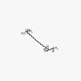 CNCCC(C=O)NC(=O)CCCCCCCCCCCCCCCCC(C)(C)C